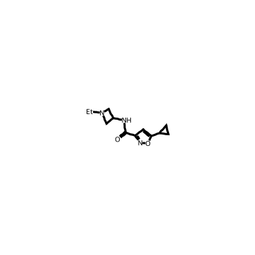 CCN1CC(NC(=O)c2cc(C3CC3)on2)C1